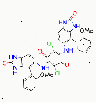 COc1ccccc1-c1c(NC2=C(Cl)C(=O)C(Nc3ccc4[nH]c(=O)[nH]c4c3-c3ccccc3OC)=C(Cl)C2=O)ccc2[nH]c(=O)[nH]c12